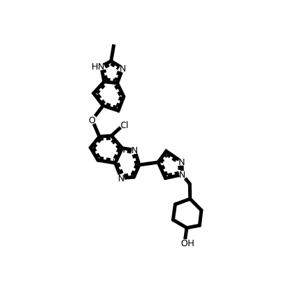 Cc1nc2ccc(Oc3ccc4ncc(-c5cnn(CC6CCC(O)CC6)c5)nc4c3Cl)cc2[nH]1